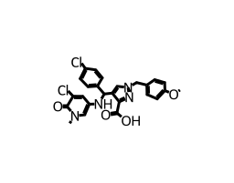 COc1ccc(Cn2cc(C(Nc3cc(Cl)c(=O)n(C)c3)c3ccc(Cl)cc3)c(C(=O)O)n2)cc1